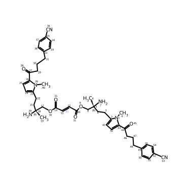 Cn1c(CC[C@@](C)(N)COC(=O)/C=C/C(=O)OC[C@](C)(N)CCc2ccc(C(=O)CCCc3ccc(C#N)cc3)n2C)ccc1C(=O)CCCc1ccc(C#N)cc1